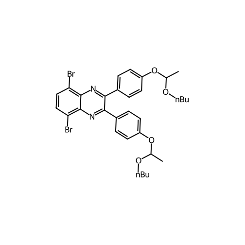 CCCCOC(C)Oc1ccc(-c2nc3c(Br)ccc(Br)c3nc2-c2ccc(OC(C)OCCCC)cc2)cc1